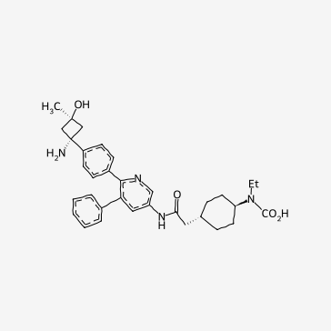 CCN(C(=O)O)[C@H]1CC[C@H](CC(=O)Nc2cnc(-c3ccc([C@]4(N)C[C@](C)(O)C4)cc3)c(-c3ccccc3)c2)CC1